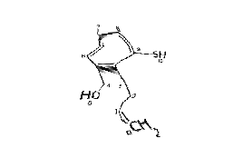 C=CCc1c(O)cccc1S